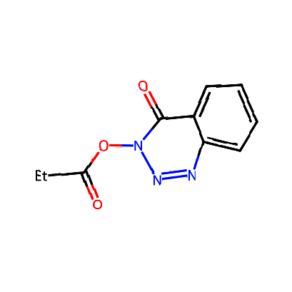 CCC(=O)On1nnc2ccccc2c1=O